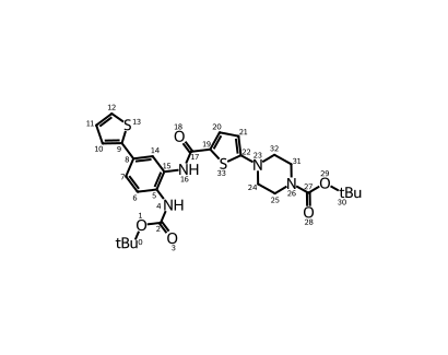 CC(C)(C)OC(=O)Nc1ccc(-c2cccs2)cc1NC(=O)c1ccc(N2CCN(C(=O)OC(C)(C)C)CC2)s1